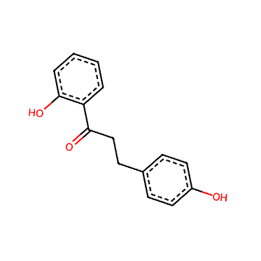 O=C(CCc1ccc(O)cc1)c1ccccc1O